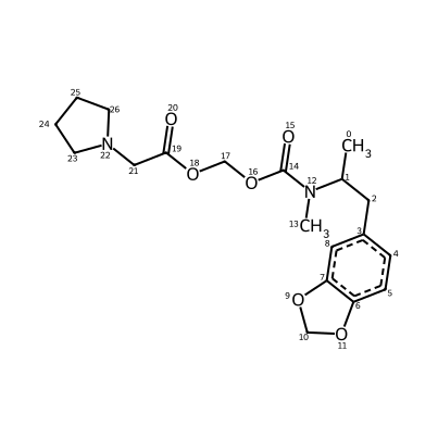 CC(Cc1ccc2c(c1)OCO2)N(C)C(=O)OCOC(=O)CN1CCCC1